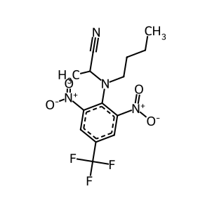 CCCCN(c1c([N+](=O)[O-])cc(C(F)(F)F)cc1[N+](=O)[O-])C(C)C#N